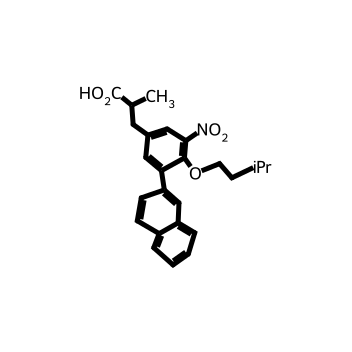 CC(C)CCOc1c(-c2ccc3ccccc3c2)cc(CC(C)C(=O)O)cc1[N+](=O)[O-]